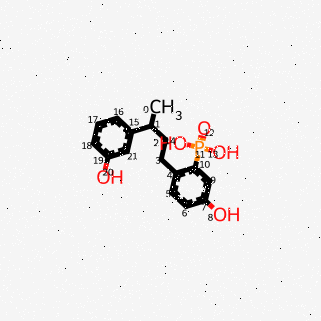 CC(CCc1ccc(O)cc1P(=O)(O)O)c1cccc(O)c1